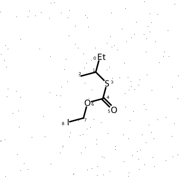 CCC(C)SC(=O)OCI